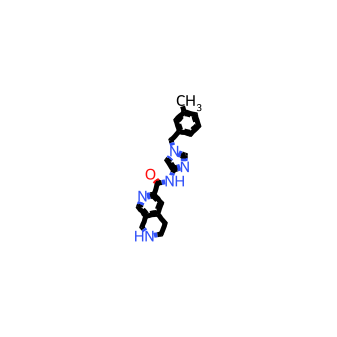 Cc1cccc(Cn2cnc(NC(=O)c3cc4c(cn3)CNCC4)c2)c1